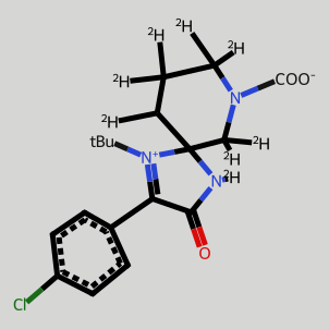 [2H]C1C([2H])([2H])C([2H])([2H])N(C(=O)[O-])C([2H])([2H])C12N([2H])C(=O)C(c1ccc(Cl)cc1)=[N+]2C(C)(C)C